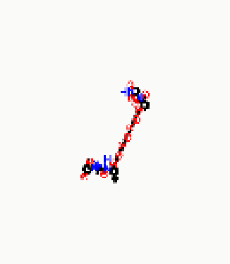 COc1ccc(OC)c(-n2nnc(C(=O)Nc3cc(C(C)(C)C)ccc3OCCOCCOCCOCCOCCOCCOc3cccc4c3C(=O)N(C3CCC(=O)NC3=O)C4=O)c2C)c1